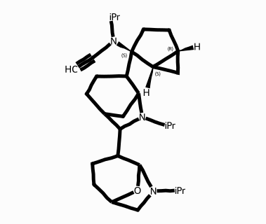 C#CN(C(C)C)[C@@]1(C2CCC3CC2N(C(C)C)C3C2CCC3CN(C(C)C)C2O3)CC[C@@H]2C[C@@H]21